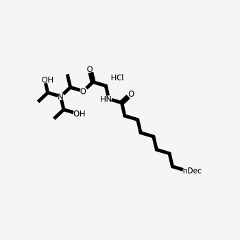 CCCCCCCCCCCCCCCCCC(=O)NCC(=O)OC(C)N(C(C)O)C(C)O.Cl